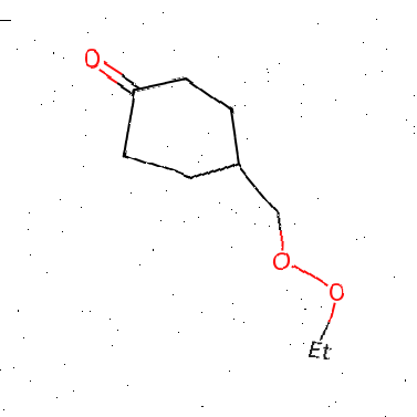 CCOOCC1CCC(=O)CC1